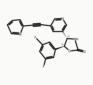 O=C1N[C@@H](c2cncc(C#Cc3ccccn3)c2)[C@H](c2cc(F)cc(F)c2)O1